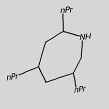 CCCC1CNC(CCC)CC(CCC)C1